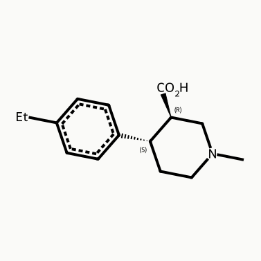 CCc1ccc([C@H]2CCN(C)C[C@@H]2C(=O)O)cc1